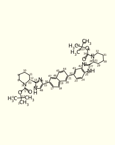 CC(C)(C)OC(=O)N1CCCC[C@H]1c1nc(-c2ccc3cc(-c4ccc5[nH]c([C@@H]6CCCCN6C(=O)OC(C)(C)C)nc5c4)ccc3c2)c[nH]1